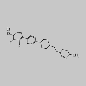 CCOC1C=CC(c2ccc(C3CCC(CCC4C=CC(C)CC4)CC3)cc2)=C(F)C1F